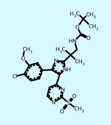 COc1cc(-c2nc(C(C)(C)CNC(=O)OC(C)(C)C)[nH]c2-c2ccnc(S(C)(=O)=O)n2)ccc1Cl